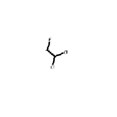 F[CH]C(Cl)Cl